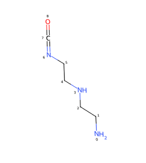 NCCNCCN=C=O